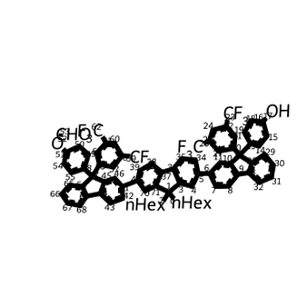 CCCCCCC1(CCCCCC)c2cc(-c3ccc4c(c3)C(c3ccc(O)cc3)(c3cc(C(F)(F)F)cc(C(F)(F)F)c3)c3ccccc3-4)ccc2-c2ccc(-c3ccc4c(c3)C(c3ccc(OC=O)cc3)(c3cc(C(F)(F)F)cc(C(F)(F)F)c3)c3ccccc3-4)cc21